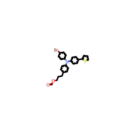 O=COCCCc1ccc(N(c2ccc(Br)cc2)c2ccc(-c3cccs3)cc2)cc1